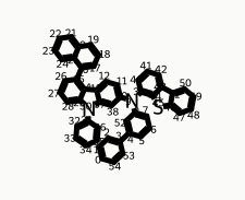 c1ccc(-c2cccc(N(c3ccc4c5c(-c6cccc7ccccc67)cccc5n(-c5ccccc5)c4c3)c3cccc4c3sc3ccccc34)c2)cc1